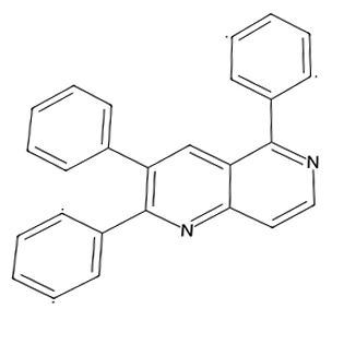 [c]1cc[c]c(-c2nc3ccnc(-c4[c]cc[c]c4)c3cc2-c2ccccc2)c1